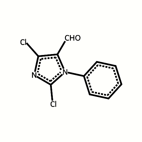 O=Cc1c(Cl)nc(Cl)n1-c1ccccc1